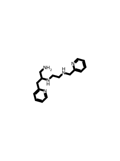 NCC(Cc1ccccn1)NCCNCc1ccccn1